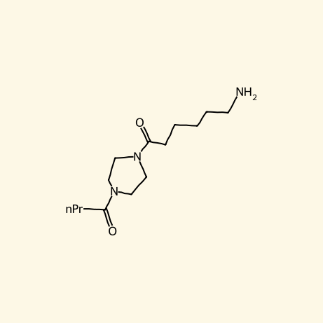 CCCC(=O)N1CCN(C(=O)CCCCCN)CC1